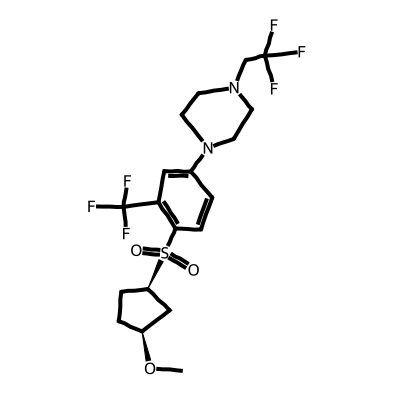 CO[C@H]1CC[C@@H](S(=O)(=O)c2ccc(N3CCN(CC(F)(F)F)CC3)cc2C(F)(F)F)C1